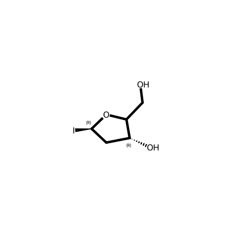 OCC1O[C@H](I)C[C@H]1O